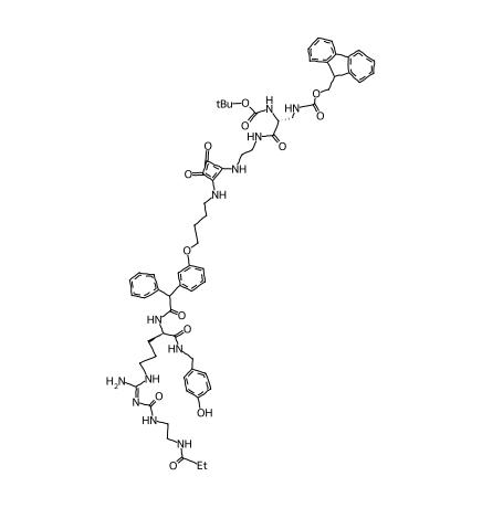 CCC(=O)NCCNC(=O)/N=C(/N)NCCC[C@@H](NC(=O)C(c1ccccc1)c1cccc(OCCCCNc2c(NCCNC(=O)[C@@H](CNC(=O)OCC3c4ccccc4-c4ccccc43)NC(=O)OC(C)(C)C)c(=O)c2=O)c1)C(=O)NCc1ccc(O)cc1